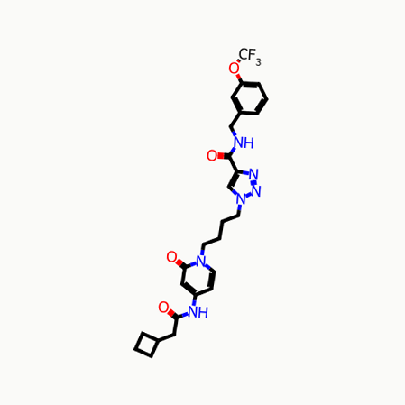 O=C(CC1CCC1)Nc1ccn(CCCCn2cc(C(=O)NCc3cccc(OC(F)(F)F)c3)nn2)c(=O)c1